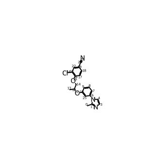 Cc1nccn1-c1cccc(OC(C)COc2ccc(C#N)cc2Cl)c1